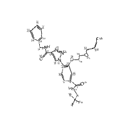 O=C(NCC(F)(F)F)c1ccc(-n2cc(C(=O)NCc3ccccc3)nn2)c(OCCOCCF)c1